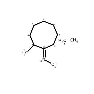 C.C.C[C]1CCCCCCC1=NO